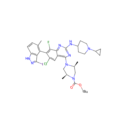 Cc1ccc2[nH]nc(I)c2c1-c1c(Cl)cc2c(N3C[C@H](C)N(C(=O)OC(C)(C)C)C[C@@H]3C)nc(NC3CCN(C4CC4)CC3)nc2c1F